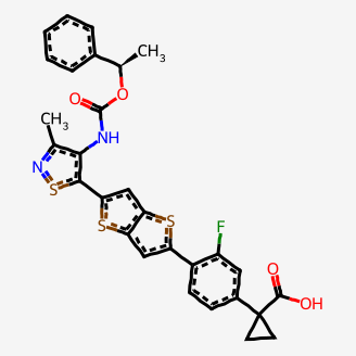 Cc1nsc(-c2cc3sc(-c4ccc(C5(C(=O)O)CC5)cc4F)cc3s2)c1NC(=O)O[C@H](C)c1ccccc1